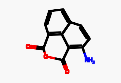 Nc1ccc2cccc3c2c1C(=O)OC3=O